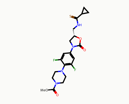 COC(=O)N1CCN(c2c(F)cc(N3C[C@H](CNC(=S)C4CC4)OC3=O)cc2F)CC1